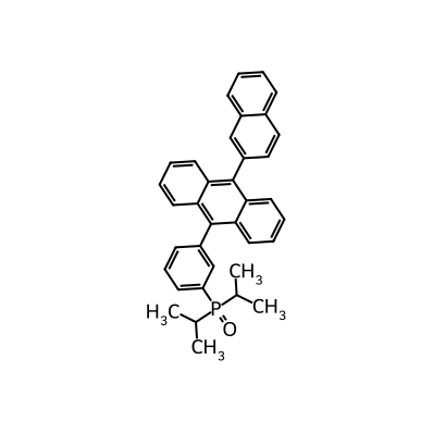 CC(C)P(=O)(c1cccc(-c2c3ccccc3c(-c3ccc4ccccc4c3)c3ccccc23)c1)C(C)C